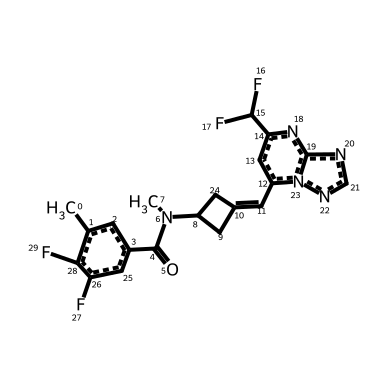 Cc1cc(C(=O)N(C)C2CC(=Cc3cc(C(F)F)nc4ncnn34)C2)cc(F)c1F